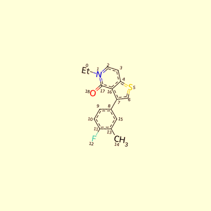 CCn1ccc2scc(-c3ccc(F)c(C)c3)c2c1=O